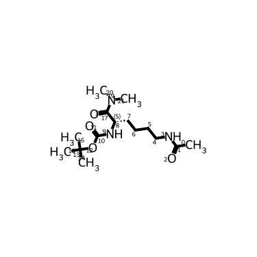 CC(=O)NCCCC[C@H](NC(=O)OC(C)(C)C)C(=O)N(C)C